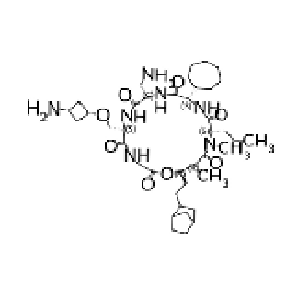 CCC[C@H]1C(=O)N[C@@H](C2CCCCCC2)C(=O)N[C@@H](CN)C(=O)N[C@@H](CO[C@H]2C[C@H](N)C2)C(=O)NCC(=O)O[C@H](CCC2CC3CCC2C3)[C@@H](C)C(=O)N1C